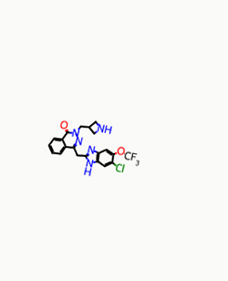 O=c1c2ccccc2c(Cc2nc3cc(OC(F)(F)F)c(Cl)cc3[nH]2)nn1CC1CNC1